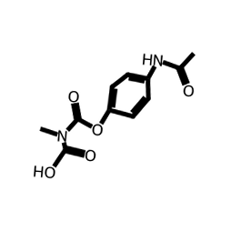 CC(=O)Nc1ccc(OC(=O)N(C)C(=O)O)cc1